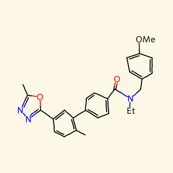 CCN(Cc1ccc(OC)cc1)C(=O)c1ccc(-c2cc(-c3nnc(C)o3)ccc2C)cc1